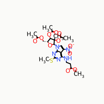 COC(=O)CCNc1nc(SC)nc2c1c([N+](=O)[O-])cn2C1O[C@H](COC(C)=O)[C@@H](OC(C)=O)C1(C)OC(C)=O